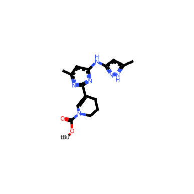 Cc1cc(Nc2cc(C)[nH]n2)nc(C2=CN(C(=O)OC(C)(C)C)CCC2)n1